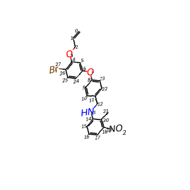 C=CCOc1cc(Oc2ccc(CNc3cccc([N+](=O)[O-])c3C)cc2)ccc1Br